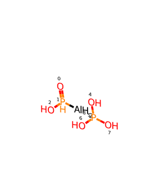 O=[PH](O)[AlH2].OP(O)O